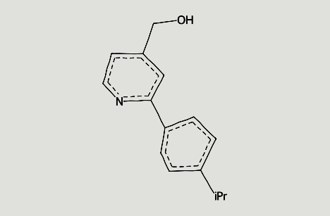 CC(C)c1ccc(-c2cc(CO)ccn2)cc1